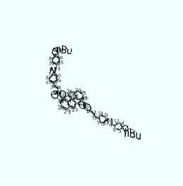 CCCCOc1ccc(C=Nc2ccc(/C=C/COOc3cccc4c3C3(CC4)CCc4cccc(OC(=O)/C=C/c5ccc(N=Cc6ccc(OCCCC)cc6)cc5)c43)cc2)cc1